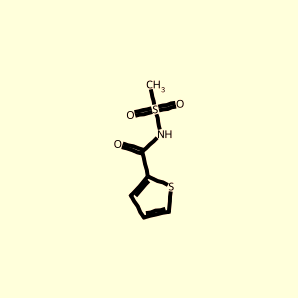 CS(=O)(=O)NC(=O)c1cccs1